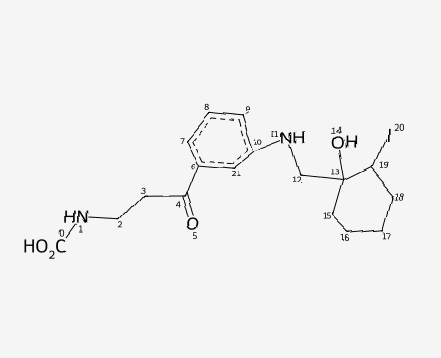 O=C(O)NCCC(=O)c1cccc(NCC2(O)CCCCC2I)c1